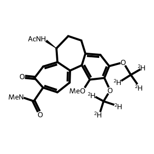 [2H]C([2H])([2H])Oc1cc2c(c(OC)c1OC([2H])([2H])[2H])-c1ccc(C(=O)NC)c(=O)cc1[C@@H](NC(C)=O)CC2